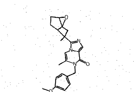 COc1ccc(Cn2c(C)cn3c(C4(C)CC56OC5CCC46)ncc3c2=O)cc1